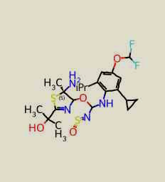 CC(C)c1cc(OC(F)F)cc(C2CC2)c1NC(N=S=O)OC1N=C(C(C)(C)O)S[C@]1(C)N